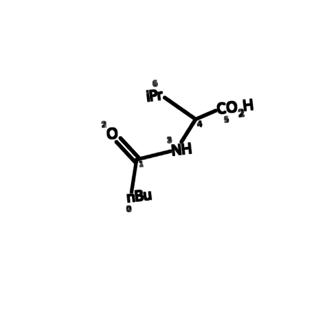 CCCCC(=O)NC(C(=O)O)C(C)C